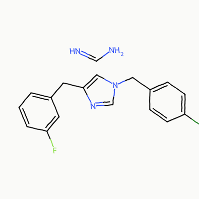 Fc1cccc(Cc2cn(Cc3ccc(Cl)cc3)cn2)c1.N=CN